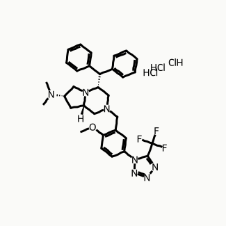 COc1ccc(-n2nnnc2C(F)(F)F)cc1CN1C[C@@H]2C[C@H](N(C)C)CN2[C@H](C(c2ccccc2)c2ccccc2)C1.Cl.Cl.Cl